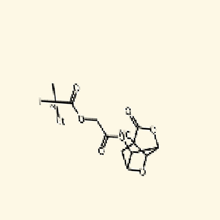 CC[C@](C)(I)C(=O)OCC(=O)OC1C2CC3(C#N)C(=O)OC1C3O2